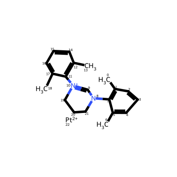 Cc1cccc(C)c1N1C=[N+](c2c(C)cccc2C)CCC1.[Pt+2]